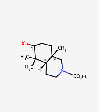 CCOC(=O)N1CC[C@@H]2C(C)(C)[C@@H](O)CC[C@]2(C)C1